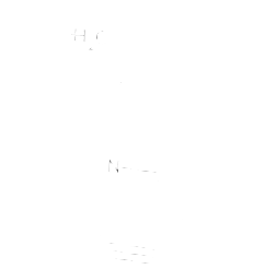 [CH2]CCN1C=CC#CC1